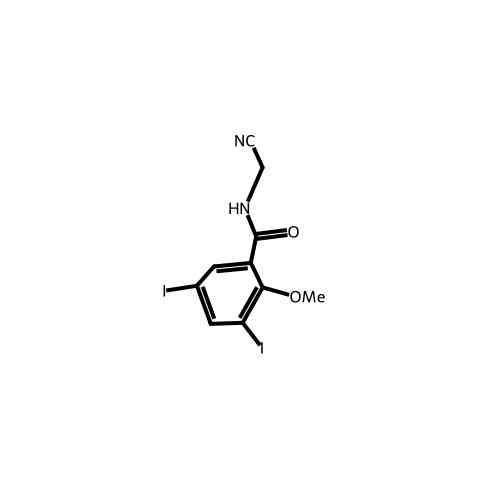 COc1c(I)cc(I)cc1C(=O)NCC#N